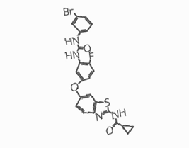 O=C(Nc1cccc(Br)c1)Nc1cc(Oc2ccc3nc(NC(=O)C4CC4)sc3c2)ccc1F